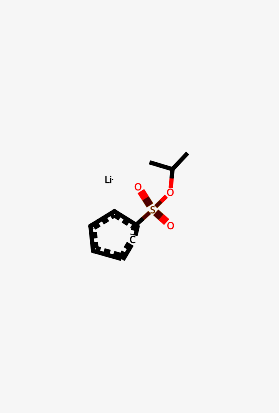 CC(C)OS(=O)(=O)c1ccccc1.[Li]